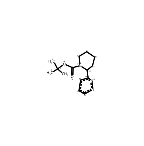 CC(C)(C)OC(=O)N1CCCCC1c1cccnn1